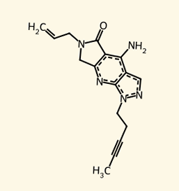 C=CCN1Cc2nc3c(cnn3CCC#CC)c(N)c2C1=O